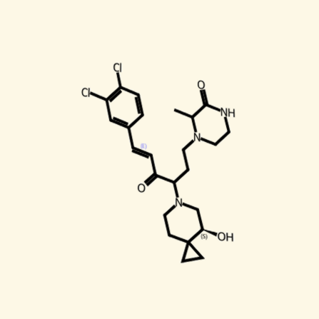 CC1C(=O)NCCN1CCC(C(=O)/C=C/c1ccc(Cl)c(Cl)c1)N1CCC2(CC2)[C@H](O)C1